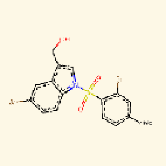 COc1ccc(S(=O)(=O)n2cc(CO)c3cc(Br)ccc32)c(Br)c1